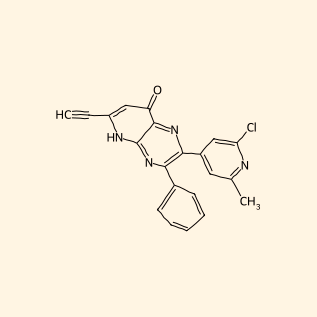 C#Cc1cc(=O)c2nc(-c3cc(C)nc(Cl)c3)c(-c3ccccc3)nc2[nH]1